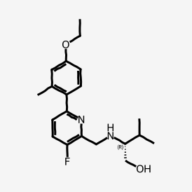 CCOc1ccc(-c2ccc(F)c(CN[C@@H](CO)C(C)C)n2)c(C)c1